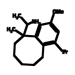 COc1cc(C(C)C)c2c(c1)C(C)(C(C)N)CCCCC2